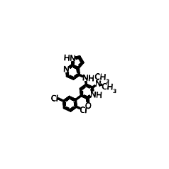 CN(C)c1[nH]c(=O)c(-c2cc(Cl)ccc2Cl)cc1Nc1ccnc2[nH]ccc12